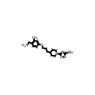 Cc1cc(OCCCC2CCN(c3nc(C(C)(C)C)no3)CC2)ccc1CN